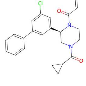 C=CC(=O)N1CCN(C(=O)C2CC2)C[C@H]1c1cc(Cl)cc(-c2ccccc2)c1